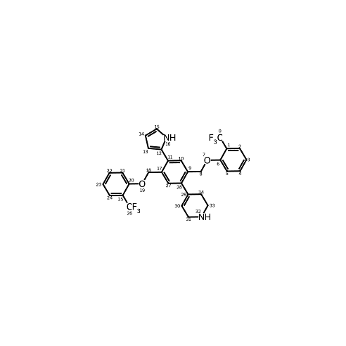 FC(F)(F)c1ccccc1OCc1cc(-c2ccc[nH]2)c(COc2ccccc2C(F)(F)F)cc1C1=CCNCC1